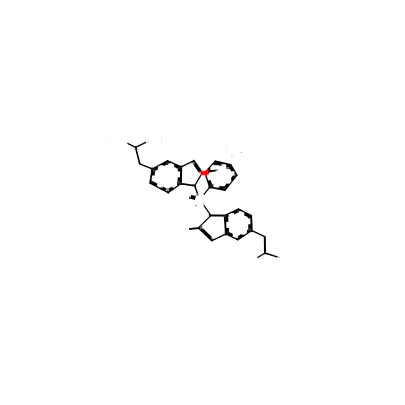 CC1=Cc2cc(CC(C)C)ccc2[CH]1[Zr]([CH3])(=[SiH2])([c]1ccccc1)[CH]1C(C)=Cc2cc(CC(C)C)ccc21.Cl.Cl